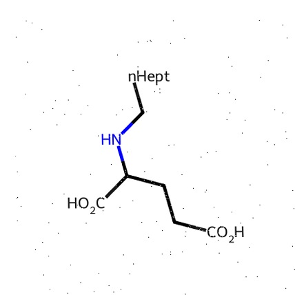 CCCCCCCCNC(CCC(=O)O)C(=O)O